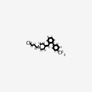 FC(F)(F)c1ccc(-c2ccccc2C=C2CCN(CCCCl)CC2)cc1